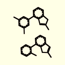 CC1=Cc2c(cccc2-c2cc(C)cc(C)c2)C1.CC1=Cc2cccc(-c3ccccc3C)c2C1